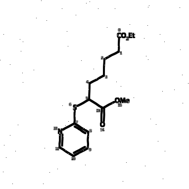 CCOC(=O)CCCCC(Sc1ccccn1)C(=O)OC